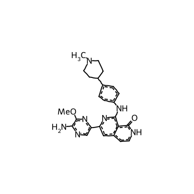 COc1nc(-c2cc3cc[nH]c(=O)c3c(Nc3ccc(C4CCN(C)CC4)cc3)n2)cnc1N